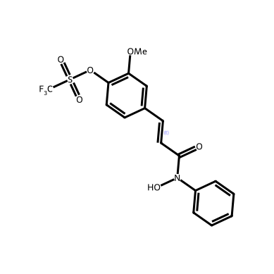 COc1cc(/C=C/C(=O)N(O)c2ccccc2)ccc1OS(=O)(=O)C(F)(F)F